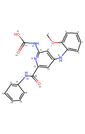 COc1ccccc1Nc1cc(NC(=O)O)nc(C(=O)Nc2ccccc2)c1